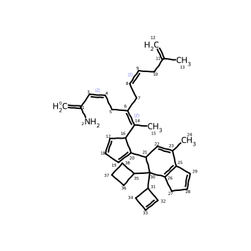 C=C(N)/C=C\C/C(C/C=C\CC(=C)C)=C(/C)C1C=CC=C1C1C=C(C)C2=C(CC=C2)C1(C1C=CC1)C1CCC1